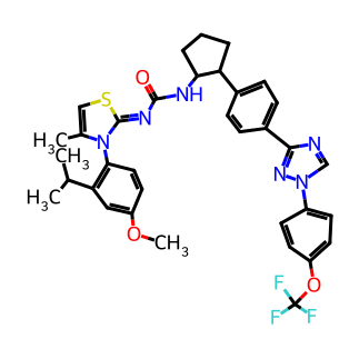 COc1ccc(-n2c(C)cs/c2=N\C(=O)NC2CCCC2c2ccc(-c3ncn(-c4ccc(OC(F)(F)F)cc4)n3)cc2)c(C(C)C)c1